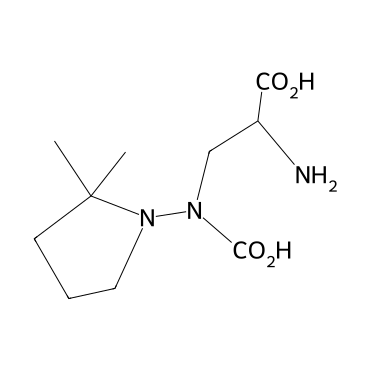 CC1(C)CCCN1N(CC(N)C(=O)O)C(=O)O